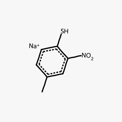 Cc1ccc(S)c([N+](=O)[O-])c1.[Na+]